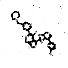 CC(=O)c1ccc(-c2cncc3[nH]c(-c4n[nH]c5cnc(-c6cncc(CN7CCCCC7)c6)c(F)c45)nc23)s1